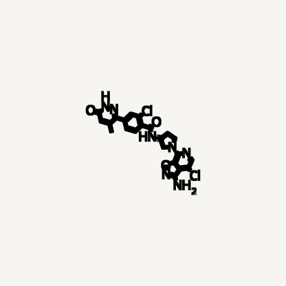 Cc1cc(=O)[nH]nc1-c1ccc(C(=O)N[C@@H]2CCN(c3ncc(Cl)c4c(N)noc34)C2)c(Cl)c1